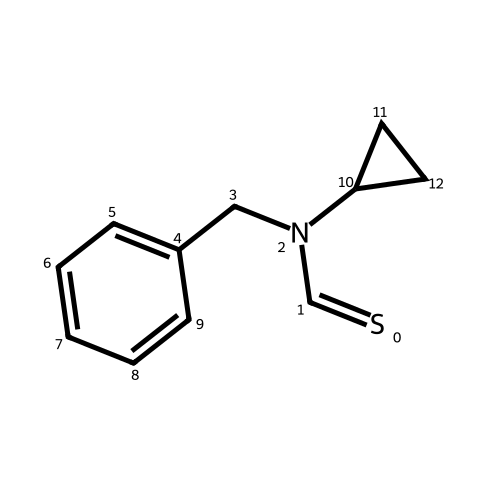 S=CN(Cc1ccccc1)C1CC1